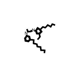 CCCCCCCCc1cccc(N=C(C)C=Nc2cc(CC)cc(CCCCCC)c2)c1